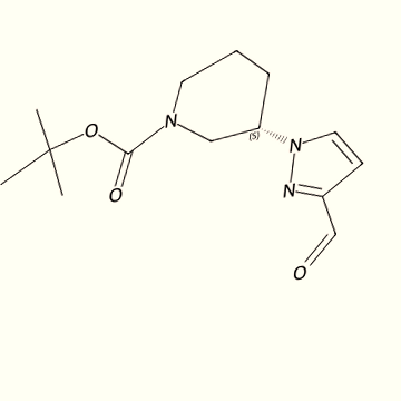 CC(C)(C)OC(=O)N1CCC[C@H](n2ccc(C=O)n2)C1